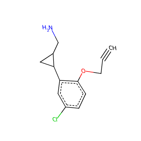 C#CCOc1ccc(Cl)cc1C1CC1CN